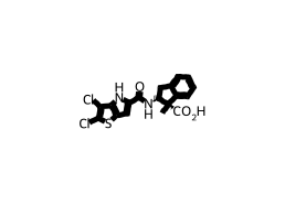 C[C@@]1(C(=O)O)c2ccccc2C[C@H]1NC(=O)c1cc2sc(Cl)c(Cl)c2[nH]1